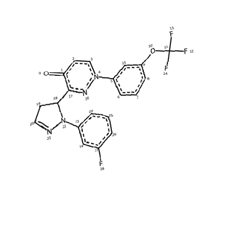 O=c1ccn(-c2cccc(OC(F)(F)F)c2)nc1C1CC=NN1c1cccc(F)c1